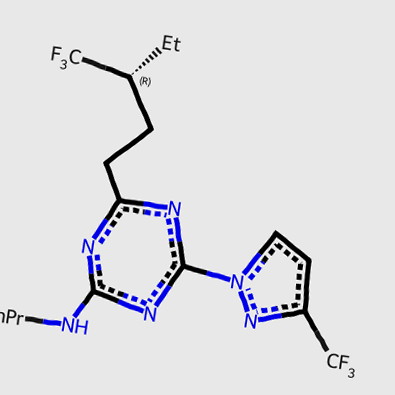 CCCNc1nc(CC[C@@H](CC)C(F)(F)F)nc(-n2ccc(C(F)(F)F)n2)n1